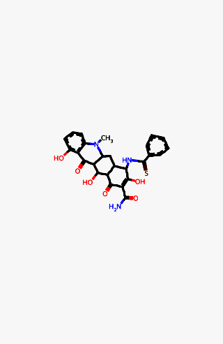 CN1c2cccc(O)c2C(=O)C2C(O)C3C(=O)C(C(N)=O)=C(O)C(NC(=S)c4ccccc4)C3CC21